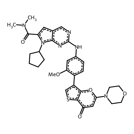 COc1cc(Nc2ncc3cc(C(=O)N(C)C)n(C4CCCC4)c3n2)ccc1-c1csc2c(=O)cc(N3CCOCC3)oc12